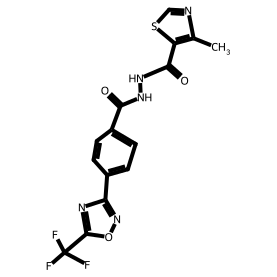 Cc1ncsc1C(=O)NNC(=O)c1ccc(-c2noc(C(F)(F)F)n2)cc1